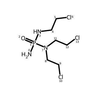 NP(=O)(NCCCl)N(CCCl)CCCl